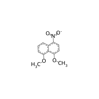 COc1cccc2c([N+](=O)[O-])ccc(OC)c12